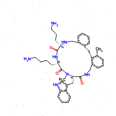 Cc1cccc2c1Sc1ccccc1CN[C@@H](CCCN)C(=O)N[C@@H](CCCCN)C(=O)N(C)[C@@H](Cc1c[nH]c3ccccc13)C(=O)NC2